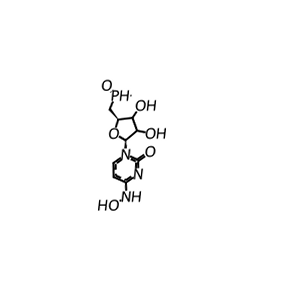 O=[PH]C[C@@H]1O[C@H](n2ccc(NO)nc2=O)C(O)C1O